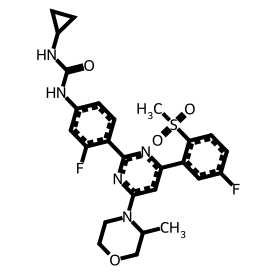 CC1COCCN1c1cc(-c2cc(F)ccc2S(C)(=O)=O)nc(-c2ccc(NC(=O)NC3CC3)cc2F)n1